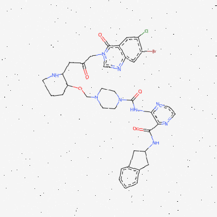 O=C(CC1NCCCC1OCN1CCN(C(=O)Nc2nccnc2C(=O)NC2Cc3ccccc3C2)CC1)Cn1cnc2cc(Br)c(Cl)cc2c1=O